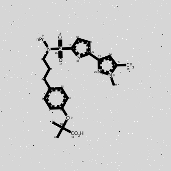 CCCN(CCCc1ccc(OC(C)(C)C(=O)O)cc1)S(=O)(=O)c1ccc(-c2cc(C(F)(F)F)n(C)n2)s1